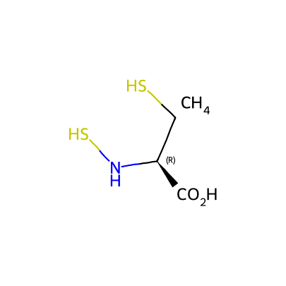 C.O=C(O)[C@H](CS)NS